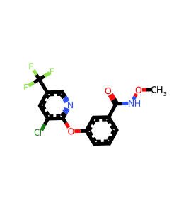 CONC(=O)c1cccc(Oc2ncc(C(F)(F)F)cc2Cl)c1